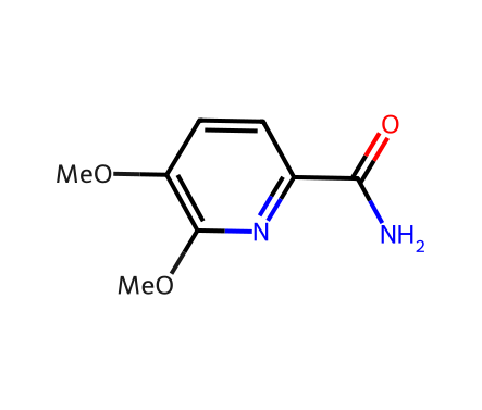 COc1ccc(C(N)=O)nc1OC